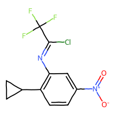 O=[N+]([O-])c1ccc(C2CC2)c(N=C(Cl)C(F)(F)F)c1